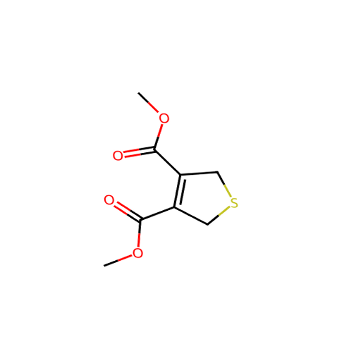 COC(=O)C1=C(C(=O)OC)CSC1